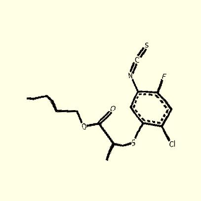 CCCCOC(=O)C(C)Sc1cc(N=C=S)c(F)cc1Cl